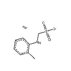 Cc1ccccc1NCS(=O)(=O)[O-].[Na+]